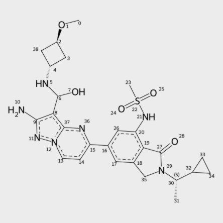 CO[C@H]1C[C@H](NC(O)c2c(N)nn3ccc(-c4cc5c(c(NS(C)(=O)=O)c4)C(=O)N([C@@H](C)C4CC4)C5)nc23)C1